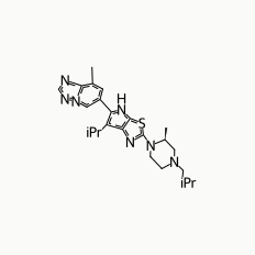 Cc1cc(-c2[nH]c3sc(N4CCN(CC(C)C)C[C@@H]4C)nc3c2C(C)C)cn2ncnc12